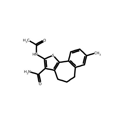 CC(=O)Nc1sc2c(c1C(N)=O)CCCc1cc(C)ccc1-2